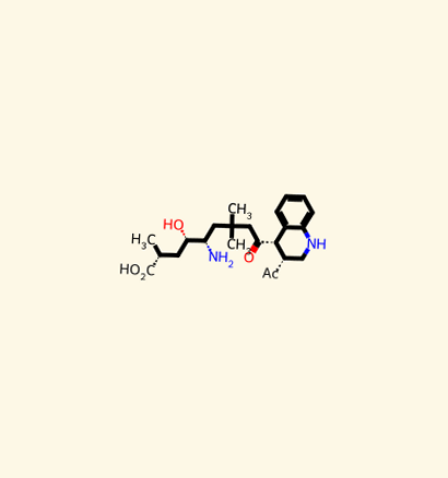 CC(=O)[C@H]1CNc2ccccc2[C@H]1C(=O)CC(C)(C)C[C@H](N)[C@@H](O)C[C@@H](C)C(=O)O